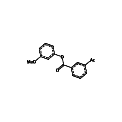 COc1cccc(OC(=O)c2cccc(C(C)=O)c2)c1